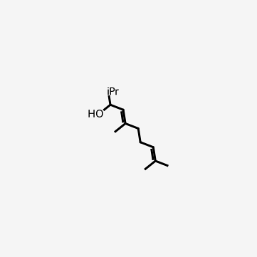 CC(C)=CCC/C(C)=C/C(O)C(C)C